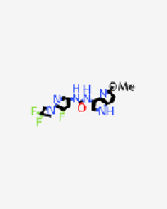 COc1ccc2[nH]cc(NC(=O)Nc3cnc(N4CC(F)(F)C4)c(F)c3)c2n1